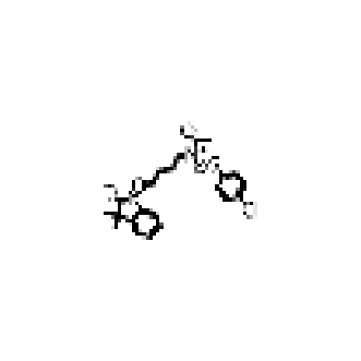 CC(=O)[N+](=CCCCON1C(=O)C(C)(C)c2ccccc21)OSc1ccc(Cl)cc1